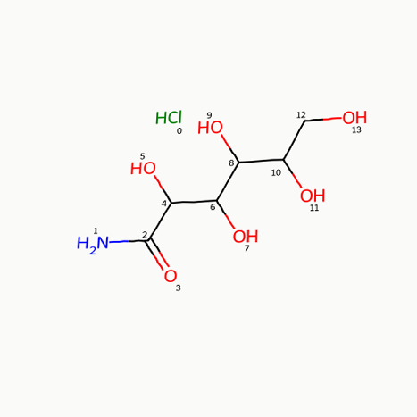 Cl.NC(=O)C(O)C(O)C(O)C(O)CO